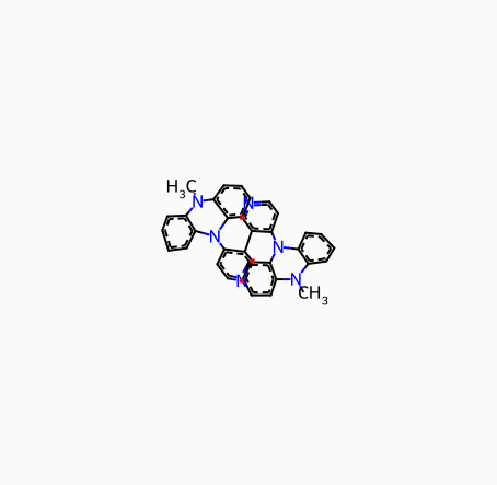 CN1c2ccccc2N(c2ccncc2-c2cnccc2N2c3ccccc3N(C)c3ccccc32)c2ccccc21